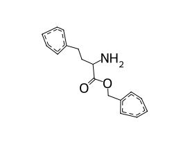 NC(CCc1ccccc1)C(=O)OCc1ccccc1